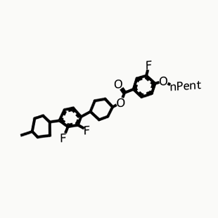 CCCCCOc1ccc(C(=O)OC2CCC(c3ccc(C4CCC(C)CC4)c(F)c3F)CC2)cc1F